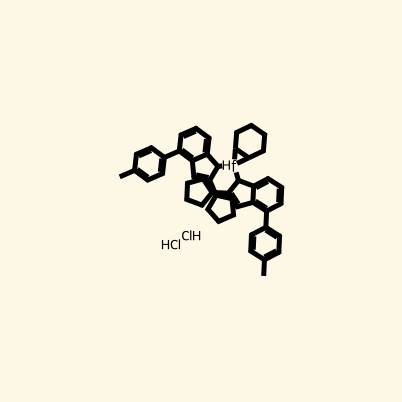 Cc1ccc(-c2cccc3c2C=C(C2CCCC2)[CH]3[Hf]2([CH]3C(C4CCCC4)=Cc4c(-c5ccc(C)cc5)cccc43)[CH]3CCCC[CH]32)cc1.Cl.Cl